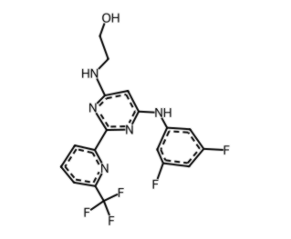 OCCNc1cc(Nc2cc(F)cc(F)c2)nc(-c2cccc(C(F)(F)F)n2)n1